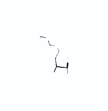 COCO[C@H](C)CC(C)C(C)=O